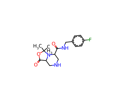 CC1(C)OC(=O)C2CNCC(C(=O)NCc3ccc(F)cc3)N21